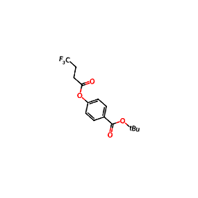 CC(C)(C)OC(=O)c1ccc(OC(=O)CCC(F)(F)F)cc1